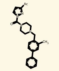 CC(=O)c1ccn(C(=O)N2CCN(Cc3ccc(-c4ccccc4)cc3C)CC2)n1